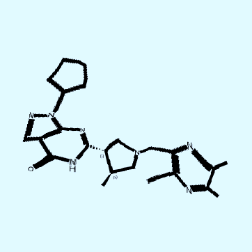 Cc1nc(C)c(CN2C[C@@H](C)[C@H](c3nc4c(cnn4C4CCCC4)c(=O)[nH]3)C2)nc1C